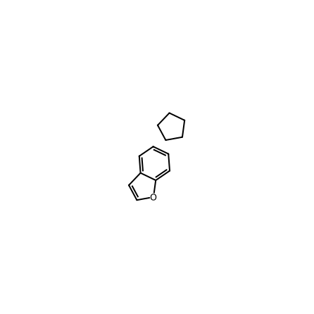 C1CCCC1.c1ccc2occc2c1